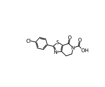 O=C(O)N1CCc2nc(-c3ccc(Cl)cc3)sc2C1=O